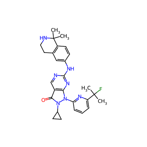 CC(C)(F)c1cccc(-n2c3nc(Nc4ccc5c(c4)CCNC5(C)C)ncc3c(=O)n2C2CC2)n1